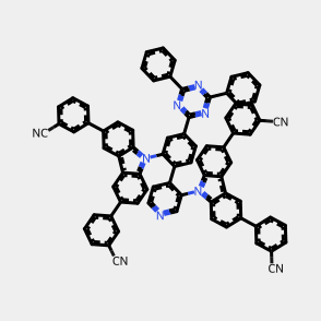 N#Cc1cccc(-c2ccc3c(c2)c2cc(-c4cccc(C#N)c4)ccc2n3-c2cnccc2-c2ccc(-c3nc(-c4ccccc4)nc(-c4ccccc4)n3)cc2-n2c3ccc(-c4cccc(C#N)c4)cc3c3cc(-c4cccc(C#N)c4)ccc32)c1